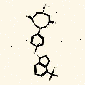 CN1CC(=O)OB(c2ccc(O[C@@H]3CCc4c3cccc4C(F)(F)F)cc2)OC(=O)C1